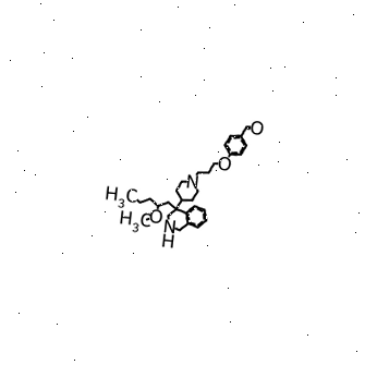 CCCC(CC1(C2CCN(CCCOc3ccc(C=O)cc3)CC2)CNCc2ccccc21)OC